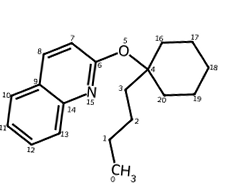 CCCCC1(Oc2ccc3ccccc3n2)CCCCC1